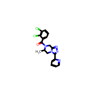 CC1Cn2c(nnc2-c2ccccn2)CN1C(=O)c1cccc(Cl)c1Cl